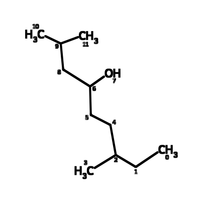 CCC(C)CCC(O)CC(C)C